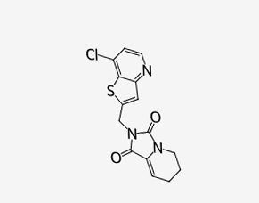 O=C1C2=CCCCN2C(=O)N1Cc1cc2nccc(Cl)c2s1